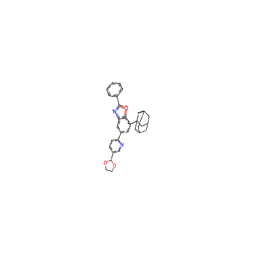 c1ccc(-c2nc3cc(-c4ccc(C5OCCO5)cn4)cc(C45CC6CC(CC(C6)C4)C5)c3o2)cc1